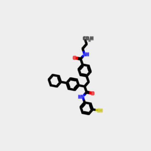 O=C(O)CCNC(=O)c1ccc(CC(C(=O)Nc2cccc(S)c2)c2ccc(C3=CCCCC3)cc2)cc1